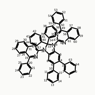 c1ccc(-c2cc3c(cc2-c2ccccc2)N(c2nc(-c4ccccc4)c4ccccc4n2)C(c2ccccc2)(c2ccccc2)N3c2nc(-c3ccccc3)c3ccccc3n2)cc1